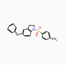 Cc1ccc(S(=O)(=O)N2CCc3cc([Se]c4ccccc4)ccc32)cc1